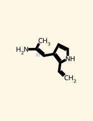 C=Cc1[nH]ccc1/C=C(\C)N